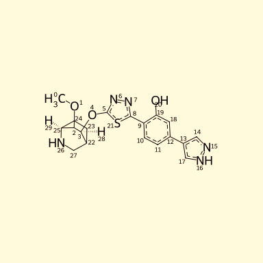 COC1[C@@H](Oc2nnc(-c3ccc(-c4cn[nH]c4)cc3O)s2)C2CC[C@@H]1NC2